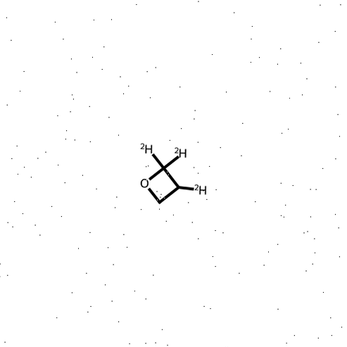 [2H]C1COC1([2H])[2H]